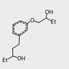 CCC(O)CCc1cccc(OCC(O)CC)c1